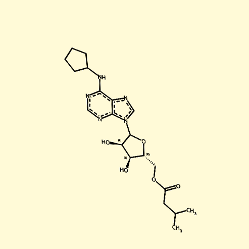 CC(C)CC(=O)OC[C@H]1OC(n2cnc3c(NC4CCCC4)ncnc32)[C@H](O)[C@@H]1O